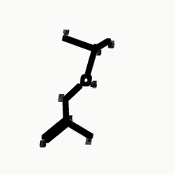 C=C(C)CO[C](C)C